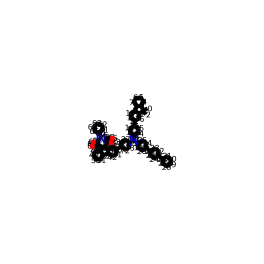 CC1(C)c2ccccc2-c2ccc(-c3ccc(N(c4ccc(-c5ccc(-c6ccccc6)cc5)cc4)c4ccc(-c5ccc6c(c5)C5(c7ccccc7-6)c6ccccc6N(c6ccccc6)c6ccccc65)cc4)cc3)cc21